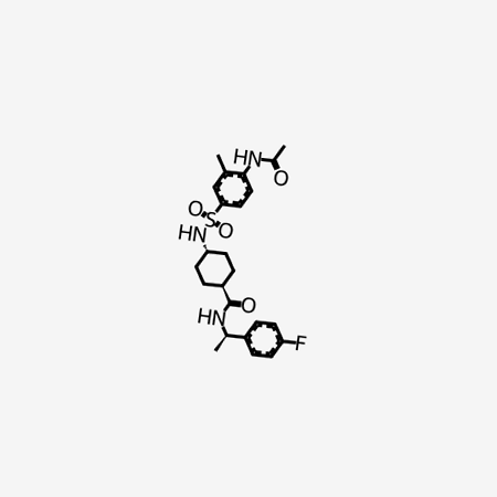 CC(=O)Nc1ccc(S(=O)(=O)N[C@H]2CC[C@H](C(=O)N[C@H](C)c3ccc(F)cc3)CC2)cc1C